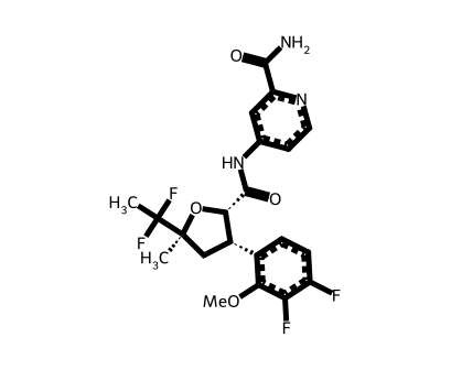 COc1c([C@@H]2C[C@@](C)(C(C)(F)F)O[C@@H]2C(=O)Nc2ccnc(C(N)=O)c2)ccc(F)c1F